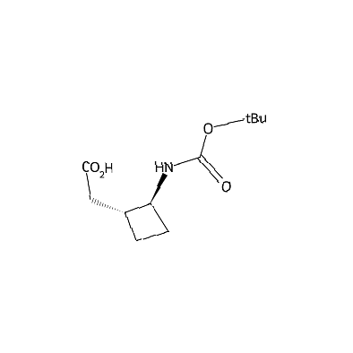 CC(C)(C)OC(=O)N[C@H]1CC[C@@H]1CC(=O)O